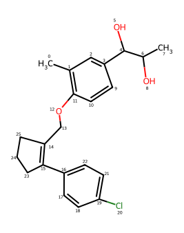 Cc1cc(C(O)C(C)O)ccc1OCC1=C(c2ccc(Cl)cc2)CCC1